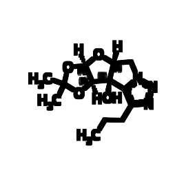 CCCc1nnn2c1[C@@]1(O)[C@@H](C2)O[C@@H]2OC(C)(C)O[C@@H]21